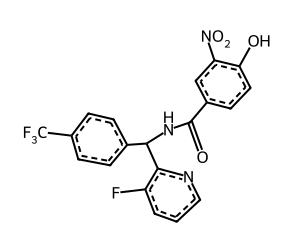 O=C(NC(c1ccc(C(F)(F)F)cc1)c1ncccc1F)c1ccc(O)c([N+](=O)[O-])c1